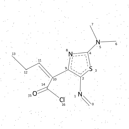 C=Nc1sc(N(C)C)nc1C(=CCC)C(=O)Cl